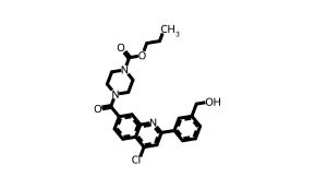 CCCOC(=O)N1CCN(C(=O)c2ccc3c(Cl)cc(-c4cccc(CO)c4)nc3c2)CC1